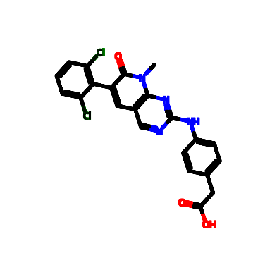 Cn1c(=O)c(-c2c(Cl)cccc2Cl)cc2cnc(Nc3ccc(CC(=O)O)cc3)nc21